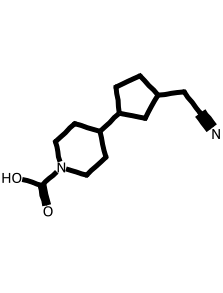 N#CCC1CCC(C2CCN(C(=O)O)CC2)C1